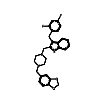 Fc1ccc(Cn2c(CN3CCN(Cc4ccc5c(c4)OCO5)CC3)nc3ccccc32)c(F)c1